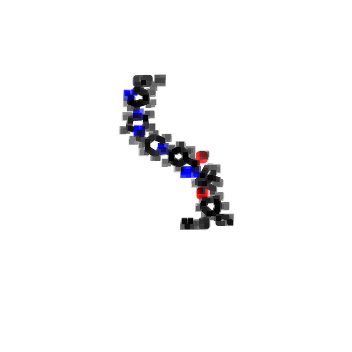 COc1cc(OC2(C)CC(C)(NC(=O)c3ccc(N4CCC(CN5CCN(c6ccc(C(=O)O)nc6)CC5)CC4)cc3)C2(C)C)ccc1C#N